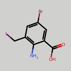 Nc1c(CI)cc(Br)cc1C(=O)O